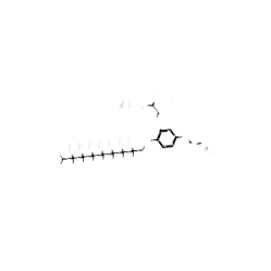 CCCCCCCCC(CCCCCC)COc1cc(SOOO)ccc1OCC(F)(F)C(F)(F)C(F)(F)C(F)(F)C(F)(F)C(F)(F)C(F)(F)C(F)F